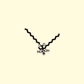 CCCCCCCCCCOC(=O)C(CC)(CCCCCCCCCC)P(=O)(O)O